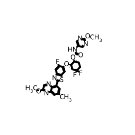 COc1cnc2c(-c3nc4cc(F)c(O[C@@H]5CC(F)(F)CC[C@@H]5OC(=O)Nc5cnc(OC)nc5)cc4s3)cc(C)cc2n1